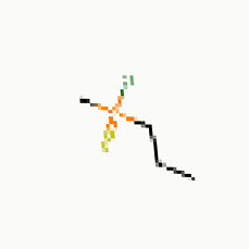 CCCP(C)(=S)Cl